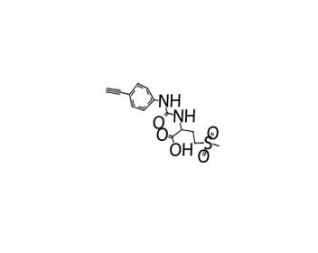 C#Cc1ccc(NC(=O)NC(CCS(C)(=O)=O)C(=O)O)cc1